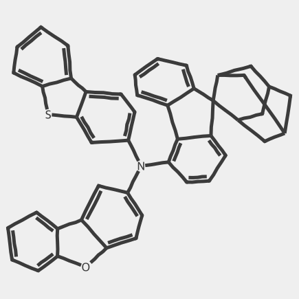 c1ccc2c(c1)-c1c(N(c3ccc4c(c3)sc3ccccc34)c3ccc4oc5ccccc5c4c3)cccc1C21C2CC3CC(C2)CC1C3